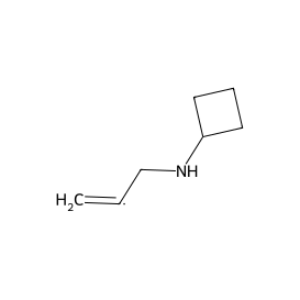 C=[C]CNC1CCC1